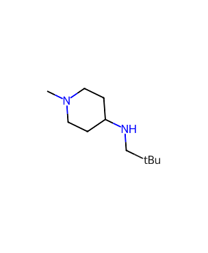 CN1CCC(NCC(C)(C)C)CC1